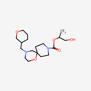 O=C(OC(CO)C(F)(F)F)N1CCC2(CC1)CN(CC1CCCOC1)CCO2